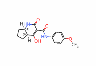 O=C(Nc1ccc(OC(F)(F)F)cc1)C1=C(O)[C@H]2CCC[C@H]2NC1=O